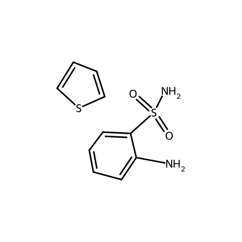 Nc1ccccc1S(N)(=O)=O.c1ccsc1